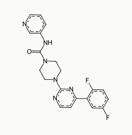 O=C(Nc1cccnc1)N1CCN(c2nccc(-c3cc(F)ccc3F)n2)CC1